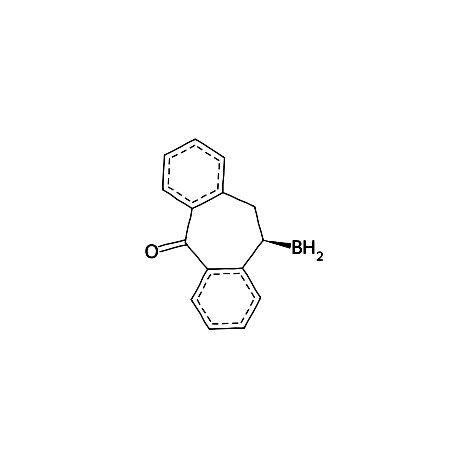 B[C@@H]1Cc2ccccc2C(=O)c2ccccc21